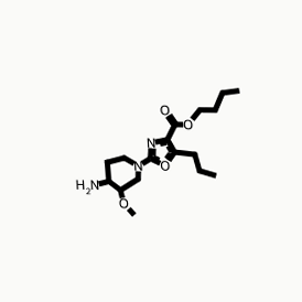 CCCCOC(=O)c1nc(N2CCC(N)C(OC)C2)oc1CCC